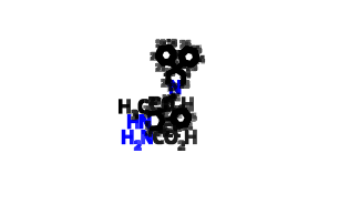 CCC1(C(=O)O)C(N)NC(C)C(CCCN2CCC(c3ccccc3)(c3ccccc3)CC2)(C(=O)O)[C@H]1c1ccccc1C(F)(F)F